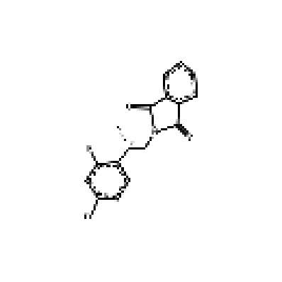 C[C@H](CN1C(=O)c2ccccc2C1=O)c1ccc(Br)cc1F